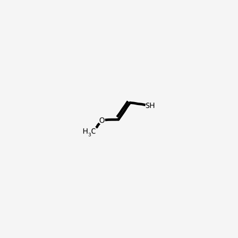 COC=CS